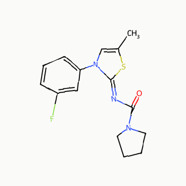 Cc1cn(-c2cccc(F)c2)c(=NC(=O)N2CCCC2)s1